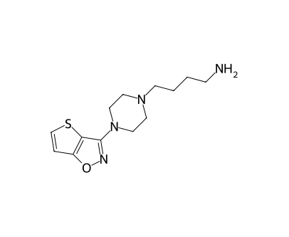 NCCCCN1CCN(c2noc3ccsc23)CC1